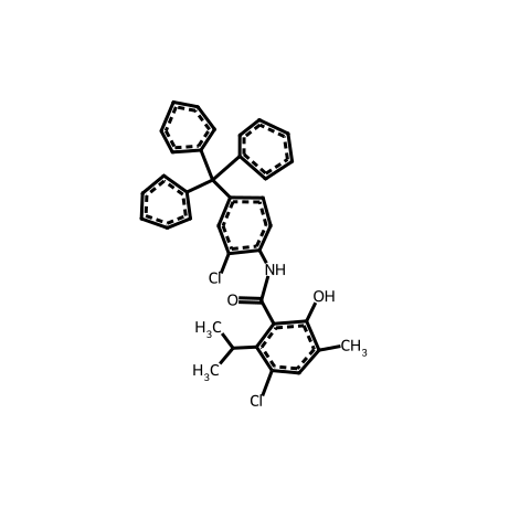 Cc1cc(Cl)c(C(C)C)c(C(=O)Nc2ccc(C(c3ccccc3)(c3ccccc3)c3ccccc3)cc2Cl)c1O